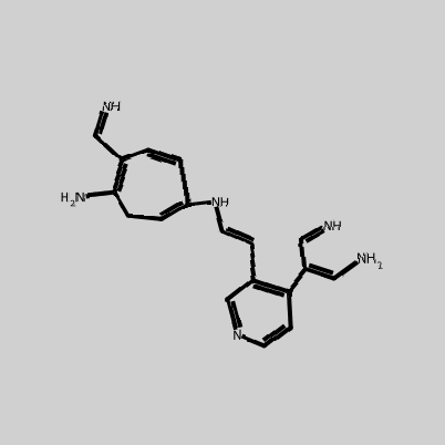 N=CC1=C(N)CC=C(N/C=C/c2cnccc2/C(C=N)=C/N)C=C1